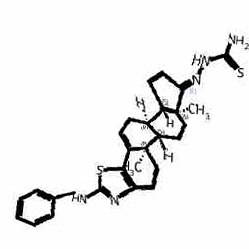 C[C@]12CCc3nc(NCc4ccccc4)sc3C1=CC[C@@H]1[C@@H]2CC[C@]2(C)/C(=N/NC(N)=S)CC[C@@H]12